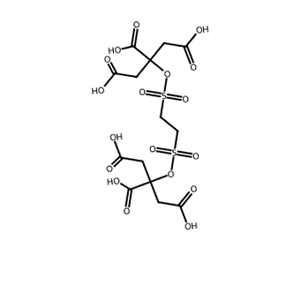 O=C(O)CC(CC(=O)O)(OS(=O)(=O)CCS(=O)(=O)OC(CC(=O)O)(CC(=O)O)C(=O)O)C(=O)O